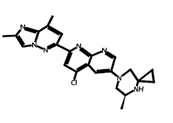 Cc1cn2nc(-c3cc(Cl)c4cc(N5C[C@H](C)NC6(CC6)C5)cnc4n3)cc(C)c2n1